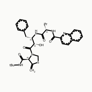 C=C1SCN(C(=O)[C@@H](O)[C@H](Cc2ccccc2)NC(=O)[C@@H](NC(=O)c2ccc3ccccc3n2)C(C)C)[C@@H]1C(=O)NC(C)(C)C